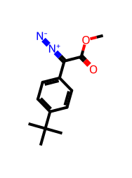 COC(=O)C(=[N+]=[N-])c1ccc(C(C)(C)C)cc1